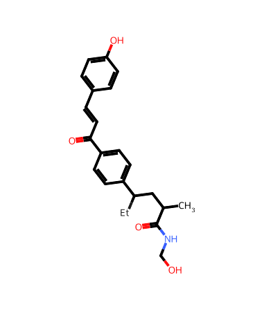 CCC(CC(C)C(=O)NCO)c1ccc(C(=O)/C=C/c2ccc(O)cc2)cc1